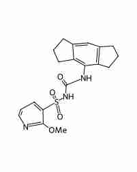 COc1ncccc1S(=O)(=O)NC(=O)Nc1c2c(cc3c1CCC3)CCC2